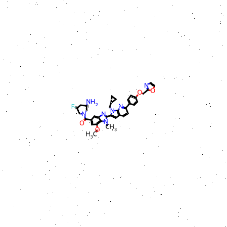 COc1cc(C(=O)N2C[C@H](N)C[C@@H](F)C2)cc2nc(-c3cc4ccc(-c5ccc(OCc6ncco6)cc5)nc4n3CC3CC3)n(C)c12